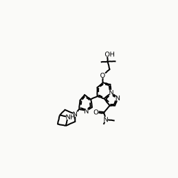 CN(C)C(=O)c1cnn2cc(OCC(C)(C)O)cc(-c3ccc(N4CC5CC(C4)N5)nc3)c12